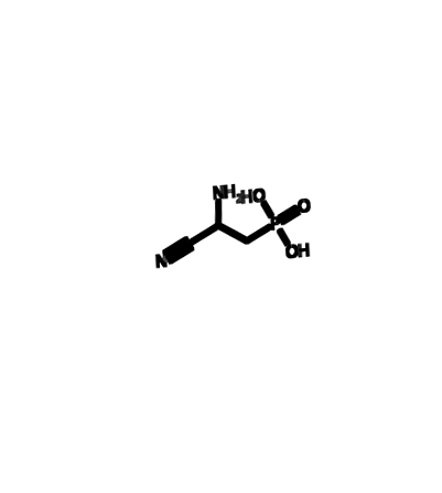 N#CC(N)CP(=O)(O)O